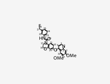 COc1cc2nccc(Oc3ccc4c(c3)OCCN4C(=O)Nc3cccc(CF)c3)c2cc1OC